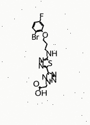 O=C(O)Cn1nnc(-c2nnc(NCCCOc3cc(F)ccc3Br)s2)n1